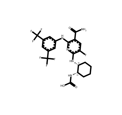 NC(=O)c1cc(F)c(N[C@@H]2CCCC[C@@H]2NC(=O)O)nc1Nc1cc(C(F)(F)F)cc(C(F)(F)F)c1